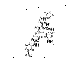 CC(=O)c1cccc(NC(=O)ON2CCC(Nc3nc(N[C@H]4CC[C@H](N)CC4)nc4c3ncn4C3CCCC3)CC2)c1